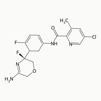 Cc1cc(Cl)cnc1C(=O)NC1=CC=C(F)C([C@]2(F)COCC(N)=N2)C1